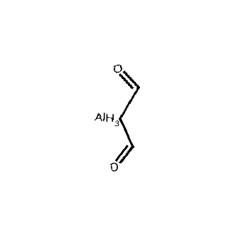 O=CCC=O.[AlH3]